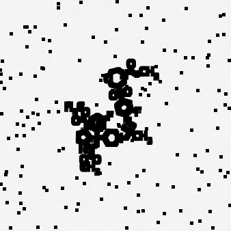 C=CC(=O)N1CCOC[C@@H](S(=O)(=O)c2ccc(N3CC(C)(CN4CCC(C(CNC(=O)OC)(c5cccc(F)c5)[C@H]5CCC[C@@H]5NC(=O)OC)CC4)C3)c(F)c2)C1